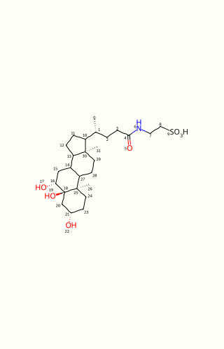 C[C@H](CCC(=O)NCCS(=O)(=O)O)C1CCC2C3C[C@@H](O)[C@@]4(O)C[C@@H](O)CC[C@]4(C)C3CC[C@@]21C